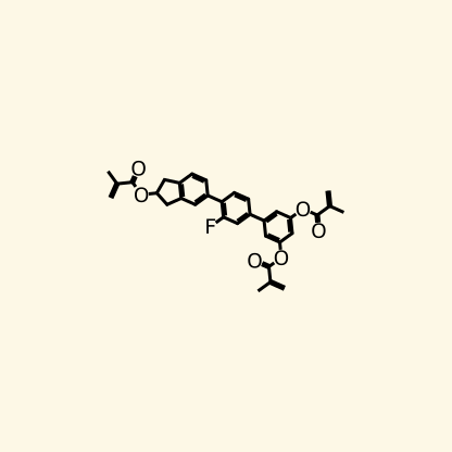 C=C(C)C(=O)Oc1cc(OC(=O)C(=C)C)cc(-c2ccc(-c3ccc4c(c3)CC(OC(=O)C(=C)C)C4)c(F)c2)c1